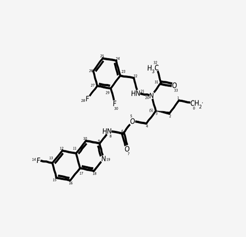 [CH2]CC[C@@H](COC(=O)Nc1cc2cc(F)ccc2cn1)N(NCc1cccc(F)c1F)C(C)=O